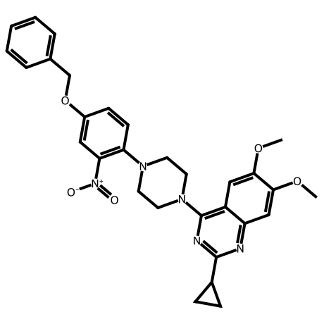 COc1cc2nc(C3CC3)nc(N3CCN(c4ccc(OCc5ccccc5)cc4[N+](=O)[O-])CC3)c2cc1OC